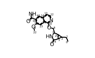 CCC1C2C(=O)NC(COc3nccc4cc(C(N)=O)c(OC)cc34)C12